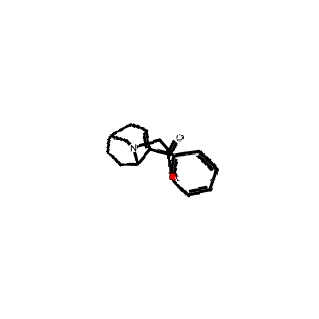 CCC(=O)C1=CCC2CCC1N(Cc1ccccc1)C2